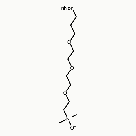 CCCCCCCCCCCCOCCOCCOCC[N+](C)(C)[O-]